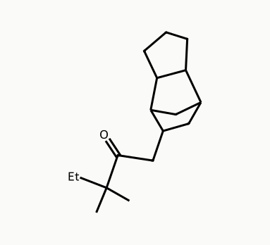 CCC(C)(C)C(=O)CC1CC2CC1C1CCCC21